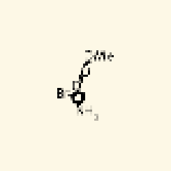 COCCOCCOc1ccc(N)cc1Br